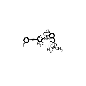 Cc1cc(C#Cc2cccc(F)c2)cnc1NC(=O)c1cc(CC(=O)OC(C)(C)C)ccc1Cl